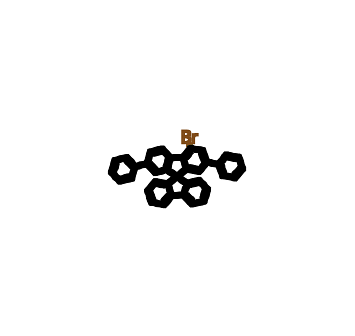 Brc1cc(-c2ccccc2)cc2c1-c1ccc(-c3ccccc3)cc1C21c2ccccc2-c2ccccc21